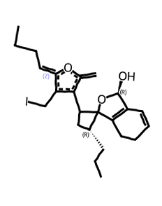 C=c1o/c(=C\CCC)c(CI)c1C1C[C@@H](CCC)C12O[C@@H](O)C1=C2CCC=C1